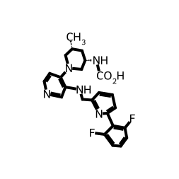 C[C@@H]1C[C@H](NC(=O)O)CN(c2ccncc2NCc2cccc(-c3c(F)cccc3F)n2)C1